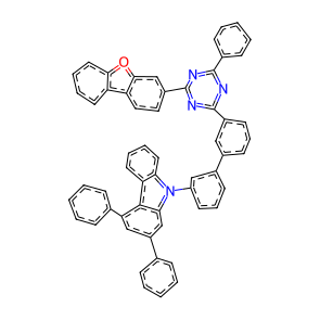 c1ccc(-c2cc(-c3ccccc3)c3c4ccccc4n(-c4cccc(-c5cccc(-c6nc(-c7ccccc7)nc(-c7ccc8c(c7)oc7ccccc78)n6)c5)c4)c3c2)cc1